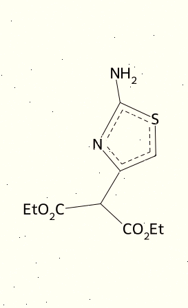 CCOC(=O)C(C(=O)OCC)c1csc(N)n1